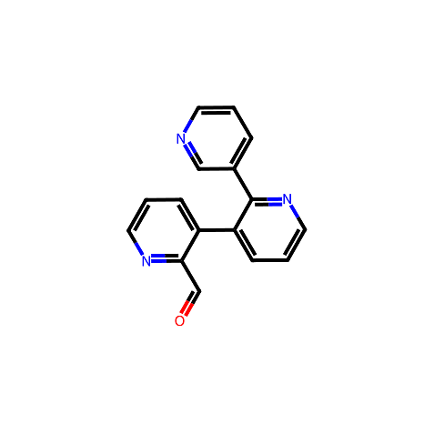 O=Cc1ncccc1-c1cccnc1-c1cccnc1